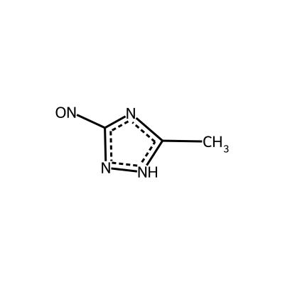 Cc1nc(N=O)n[nH]1